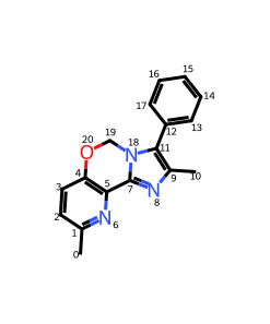 Cc1ccc2c(n1)-c1nc(C)c(-c3ccccc3)n1CO2